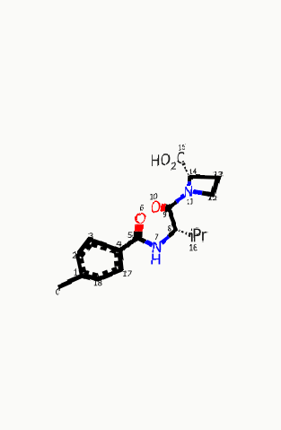 Cc1ccc(C(=O)N[C@H](C(=O)N2CC[C@H]2C(=O)O)C(C)C)cc1